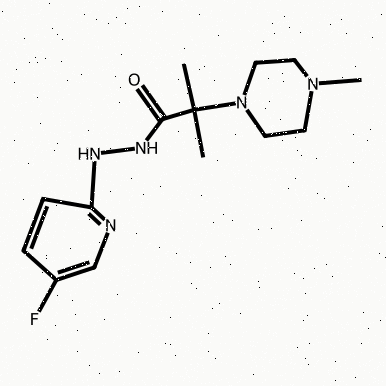 CN1CCN(C(C)(C)C(=O)NNc2ccc(F)cn2)CC1